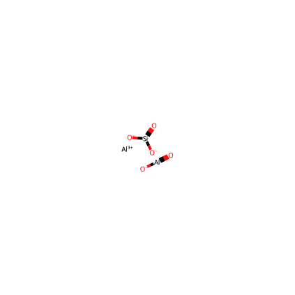 O=[Si]([O-])[O-].[Al+3].[O]=[Al][O-]